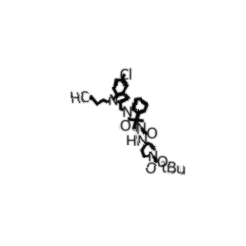 C#CCCCn1c(CN2C(=O)C3(CN(C(=O)NC4CCN(C(=O)OC(C)(C)C)CC4)C3)c3ccccc32)cc2cc(Cl)ccc21